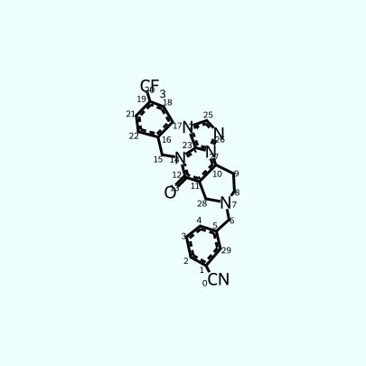 N#Cc1cccc(CN2CCc3c(c(=O)n(Cc4ccc(C(F)(F)F)cc4)c4ncnn34)C2)c1